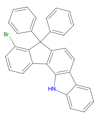 Brc1cccc2c1C(c1ccccc1)(c1ccccc1)c1ccc3c([nH]c4ccccc43)c1-2